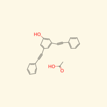 CC(=O)O.Oc1cc(C#Cc2ccccc2)cc(C#Cc2ccccc2)c1